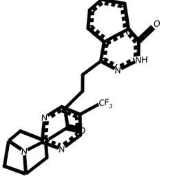 O=C(CCCc1n[nH]c(=O)c2ccccc12)N1CC2CC(C1)N2c1ncc(C(F)(F)F)cn1